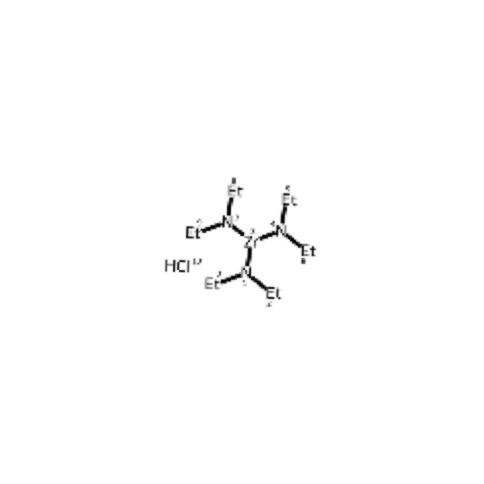 CC[N](CC)[Zr]([N](CC)CC)[N](CC)CC.Cl